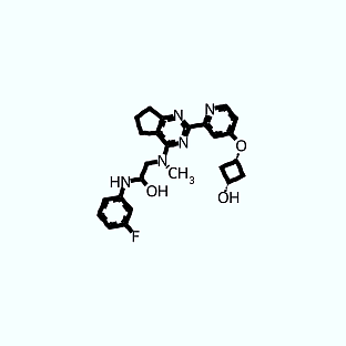 CN(CC(O)Nc1cccc(F)c1)c1nc(-c2cc(O[C@H]3C[C@@H](O)C3)ccn2)nc2c1CCC2